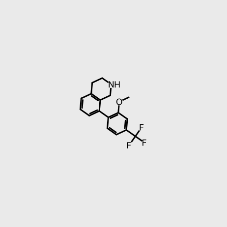 COc1cc(C(F)(F)F)ccc1-c1cccc2c1CNCC2